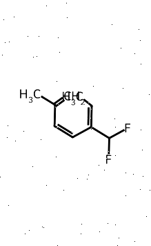 C=C(C)/C=C\C(=C/C)C(F)F